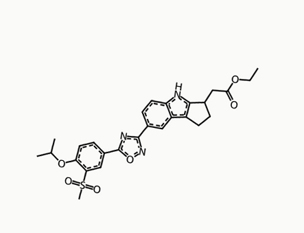 CCOC(=O)CC1CCc2c1[nH]c1ccc(-c3noc(-c4ccc(OC(C)C)c(S(C)(=O)=O)c4)n3)cc21